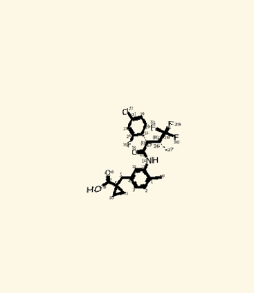 Cc1ccc(CC2(C(=O)O)CC2)cc1NC(=O)[C@H](C1CC=C(Cl)C=C1F)[C@@H](C)C(F)(F)F